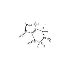 CCCCCC(=O)C1=C(O)C(C)(C)C(=O)C(C)(C)C1=O